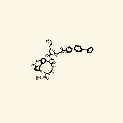 C[C@@H]1NC(=O)[C@@H](N(C)C(=O)C(CCCCN)NC(=O)CCNC(=O)c2ccc(-c3ccc(-c4ccccc4)cc3)cc2)c2ccc(O)c(c2)-c2cc(ccc2O)C[C@@H](C(=O)O)NC1=O